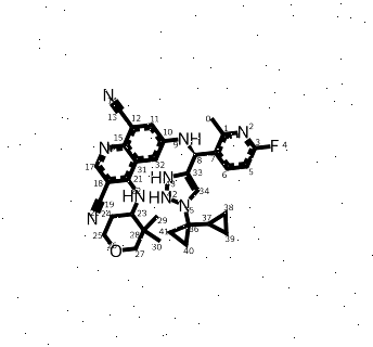 Cc1nc(F)ccc1[C@H](Nc1cc(C#N)c2ncc(C#N)c(NC3CCOCC3(C)C)c2c1)C1=CN(C2(C3CC3)CC2)NN1